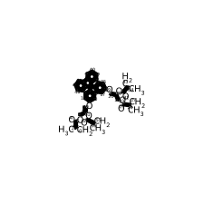 C=C(C)C(=O)OCC(=COc1ccc(C2(c3ccc(OCC(COC(=O)C(=C)C)OC(=O)C(=C)C)cc3)c3ccccc3-c3ccccc32)cc1)OC(=O)C(=C)C